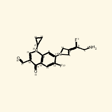 NCC(F)=C1CN(c2cc3c(cc2F)c(=O)c(C=O)cn3C2CC2)C1